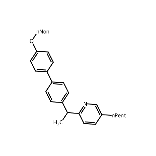 CCCCCCCCCOc1ccc(-c2ccc(C(C)c3ccc(CCCCC)cn3)cc2)cc1